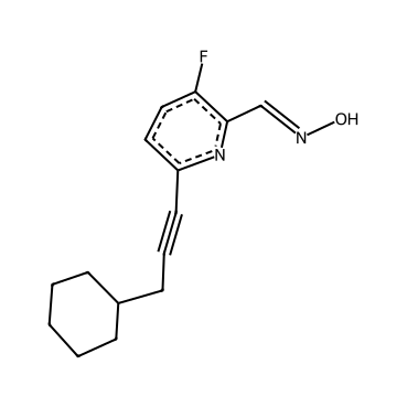 ON=Cc1nc(C#CCC2CCCCC2)ccc1F